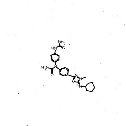 Cn1nc(-c2ccc(N(C(N)=O)c3ccc(NC(N)=O)cc3)cc2)s/c1=N/C1CCCCC1